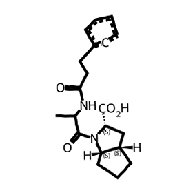 CC(NC(=O)CCc1ccccc1)C(=O)N1[C@H](C(=O)O)C[C@@H]2CCC[C@@H]21